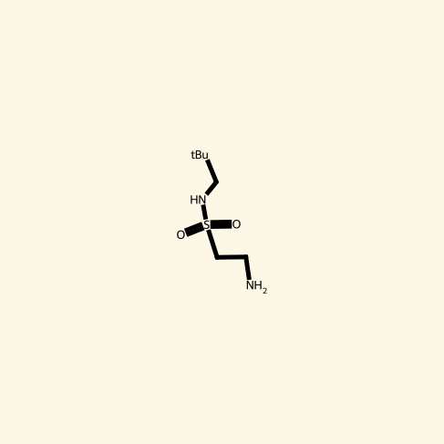 CC(C)(C)CNS(=O)(=O)CCN